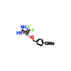 COc1ccc(COC[C@@H]2[C@@H](C(=N)N)C2(F)F)cc1